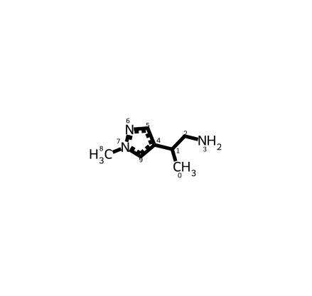 CC(CN)c1cnn(C)c1